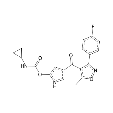 Cc1onc(-c2ccc(F)cc2)c1C(=O)c1c[nH]c(OC(=O)NC2CC2)c1